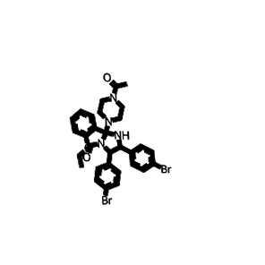 CCOc1ccccc1C1(N2CCN(C(C)=O)CC2)NC(c2ccc(Br)cc2)C(c2ccc(Br)cc2)N1C=O